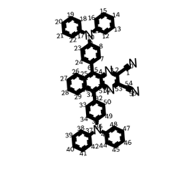 N#Cc1nc2c(-c3ccc(N(c4ccccc4)c4ccccc4)cc3)c3ccccc3c(-c3ccc(N(c4ccccc4)c4ccccc4)cc3)c2nc1C#N